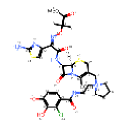 COC(=O)C(C)(C)O/N=C(\C(=O)N[C@@H]1C(=O)N2C(C(=O)O)=C(C[N+]3(CCNC(=O)c4ccc(O)c(O)c4Cl)CCCC3)CS[C@H]12)c1csc(N)n1